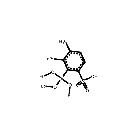 CCCc1c(C)ccc(S(=O)(O)=S)c1[Si](OCC)(OCC)OCC